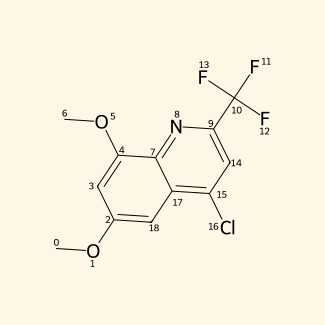 COc1cc(OC)c2nc(C(F)(F)F)cc(Cl)c2c1